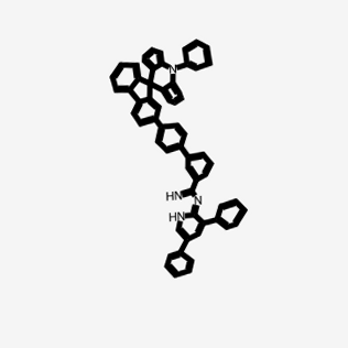 N=C(/N=c1\[nH]cc(-c2ccccc2)cc1-c1ccccc1)c1cccc(-c2ccc(-c3ccc4c(c3)C3(c5ccccc5-4)c4ccccc4N(c4ccccc4)c4ccccc43)cc2)c1